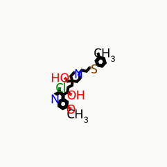 COc1ccc2ncc(Cl)c(C(O)CCC3(CO)CCN(CCCSc4cccc(C)c4)CC3)c2c1